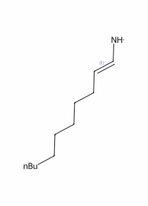 CCCCCCCCC/C=C/[NH]